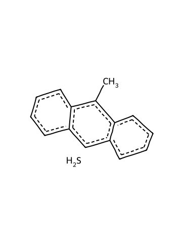 Cc1c2ccccc2cc2ccccc12.S